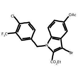 CCOC(=O)c1c(Br)c2cc(OC(C)=O)ccc2n1Cc1ccc(Cl)c(C(F)(F)F)c1